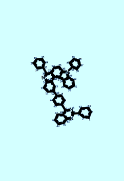 c1ccc(-c2nc(-c3ccc(-c4ccc5nc(-c6ccccc6)c6ccc7c(c8ccccc8n7-c7ccccc7)c6c5c4)cc3)c3ccccc3n2)cc1